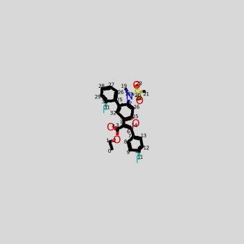 CCOC(=O)c1c(-c2ccc(F)cc2)oc2cc(N(C)S(C)(=O)=O)c(-c3ccccc3F)cc12